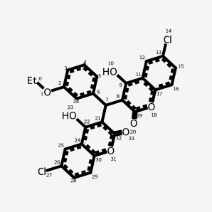 CCOc1cccc(C(c2c(O)c3cc(Cl)ccc3oc2=O)c2c(O)c3cc(Cl)ccc3oc2=O)c1